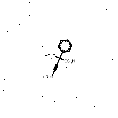 CCCCCCCCCC#CC(C(=O)O)(C(=O)O)c1ccccc1